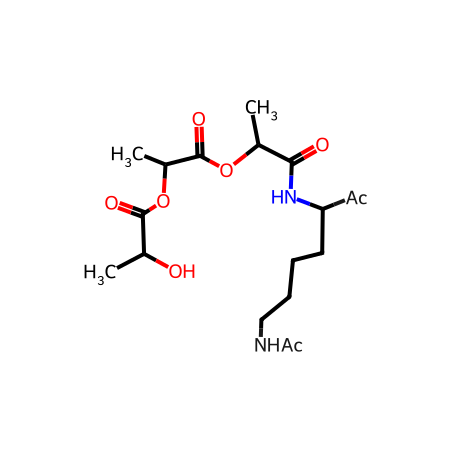 CC(=O)NCCCCC(NC(=O)C(C)OC(=O)C(C)OC(=O)C(C)O)C(C)=O